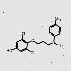 CN(CCCOc1c(Cl)cc(O)cc1Cl)c1ccc(C(F)(F)F)cc1